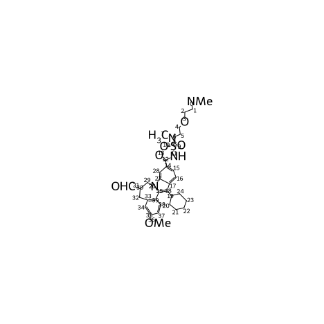 CNCCOCCN(C)S(=O)(=O)NC(=O)c1ccc2c(C3CCCCC3)c3n(c2c1)CC(C=O)Cc1cc(OC)ccc1-3